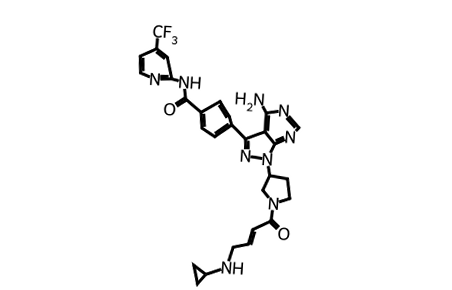 Nc1ncnc2c1c(-c1ccc(C(=O)Nc3cc(C(F)(F)F)ccn3)cc1)nn2C1CCN(C(=O)/C=C/CNC2CC2)C1